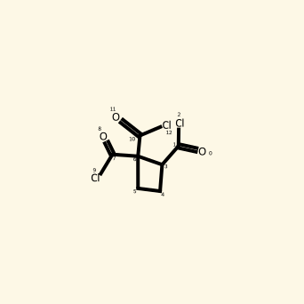 O=C(Cl)C1CCC1(C(=O)Cl)C(=O)Cl